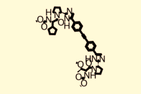 COC(=O)N[C@H](C(=O)N1CCC[C@H]1c1ncc(-c2ccc(C#Cc3ccc(-c4cnc([C@@H]5CCCN5C(=O)[C@@H](NC(=O)OC)[C@@H](C)OC)[nH]4)cc3)cc2)[nH]1)C1CCCC1